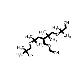 CC(C)(C#N)COC(C)(C)CC(COCC#N)C(C)(C)COC(C)(C)CC#N